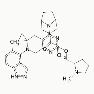 C=CC(=O)N1CC2CCC(C1)N2c1nc(OC[C@@H]2CCCN2C)nc2c1CC1(CC1)N(c1c(C)ccc3[nH]ncc13)C2